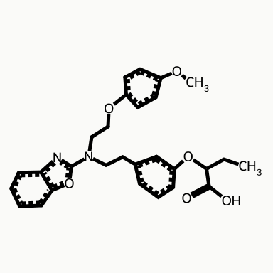 CCC(Oc1cccc(CCN(CCOc2ccc(OC)cc2)c2nc3ccccc3o2)c1)C(=O)O